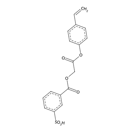 C=Cc1ccc(OC(=O)COC(=O)c2cccc(S(=O)(=O)O)c2)cc1